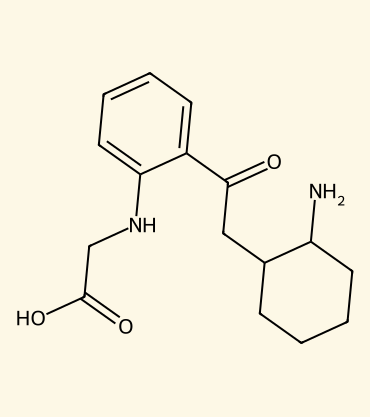 NC1CCCCC1CC(=O)c1ccccc1NCC(=O)O